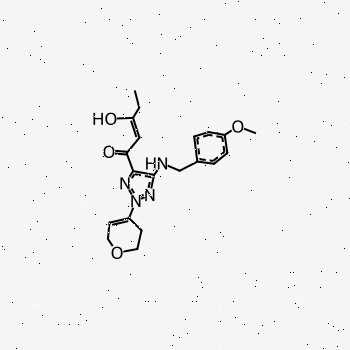 CCC(O)=CC(=O)c1nn(C2=CCOCC2)nc1NCc1ccc(OC)cc1